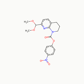 COC(OC)c1ccc2c(n1)N(C(=O)Oc1ccc([N+](=O)[O-])cc1)CCC2